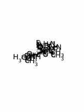 Bc1cnc(C#N)nc1N(CC(C)C)NC(=O)N(CCCCNC(=O)OC(C)(C)C)c1ccc(F)cc1